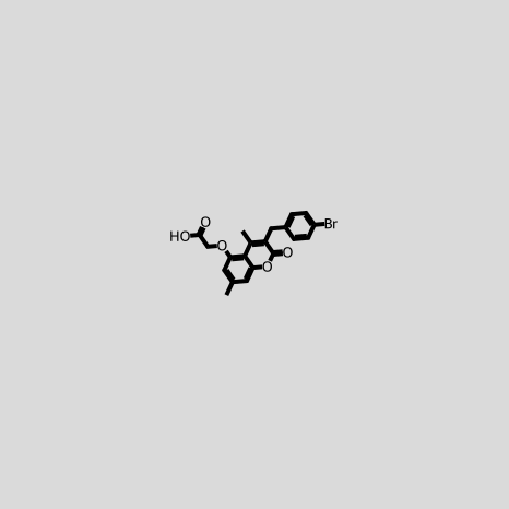 Cc1cc(OCC(=O)O)c2c(C)c(Cc3ccc(Br)cc3)c(=O)oc2c1